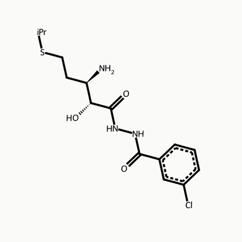 CC(C)SCC[C@@H](N)[C@@H](O)C(=O)NNC(=O)c1cccc(Cl)c1